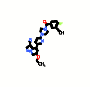 C#Cc1cc(C(=O)N2CCN(c3ccc(-c4cc(OCC)cn5ncc(C#N)c45)cn3)CC2)ccc1F